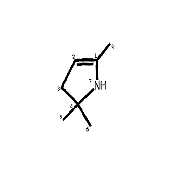 CC1=CCC(C)(C)N1